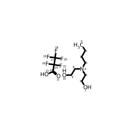 CCCCN(CCO)CCO.O=C(O)C(F)(F)C(F)(F)F